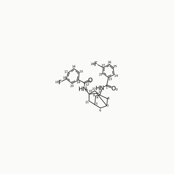 O=C(NC12CC3CC(C1)CC(NC(=O)c1cccc(F)c1)(C3)C2)c1cccc(F)c1